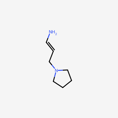 N/C=C/CN1CCCC1